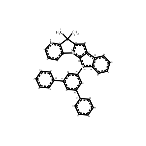 CC1(C)c2ncccc2-n2c1cc1c3ccccc3n(-c3cc(-c4ccccc4)cc(-c4ccccc4)c3)c12